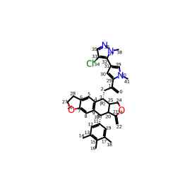 C=C(C[C@H]1c2cc3c(cc2[C@@H](c2cc(C)c(C)c(C)c2)C2C(=C)OCC21)OCC3)c1cc(-c2c(Cl)cnn2C)cn1C